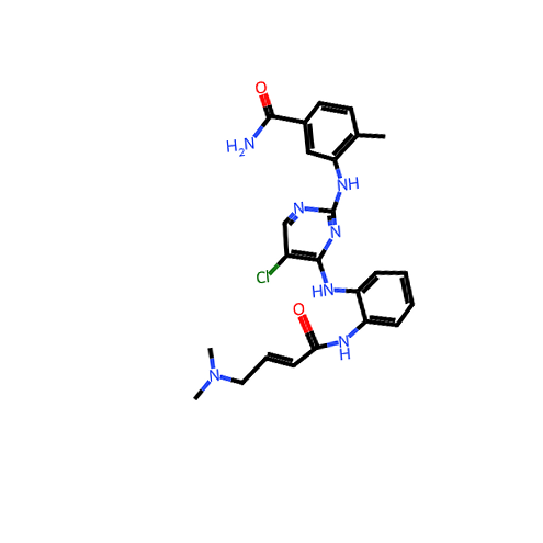 Cc1ccc(C(N)=O)cc1Nc1ncc(Cl)c(Nc2ccccc2NC(=O)C=CCN(C)C)n1